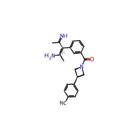 CC(=N)/C(=C(/C)N)c1cccc(C(=O)N2CC(c3ccc(C#N)cc3)C2)c1